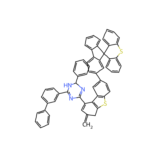 C=C1C=C(C2=NC(c3ccccc3)NC(c3cccc(-c4ccccc4)c3)=N2)c2c(sc3ccc(-c4ccc5c(c4)C4(c6ccccc6Sc6ccccc64)c4ccccc4-5)cc23)C1